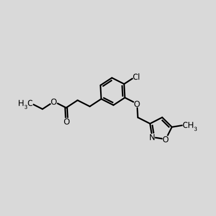 CCOC(=O)CCc1ccc(Cl)c(OCc2cc(C)on2)c1